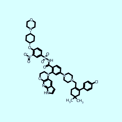 CC1(C)CCC(CN2CCN(c3ccc(C(=O)NS(=O)(=O)c4ccc(O[C@H]5CC[C@@H](N6CCOCC6)CC5)c([N+](=O)[O-])c4)c(N4CCOc5nc6[nH]ccc6cc54)c3)CC2)=C(c2ccc(Cl)cc2)C1